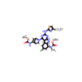 CCOC(=O)c1csc(Nc2nc(N3CC4CC3CC4NC(=O)OC(C)(C)C)c3c(n2)[nH]c2c(N(C)C(=O)OC(C)(C)C)cc(F)cc23)n1